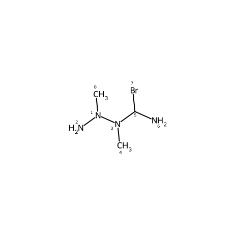 CN(N)N(C)C(N)Br